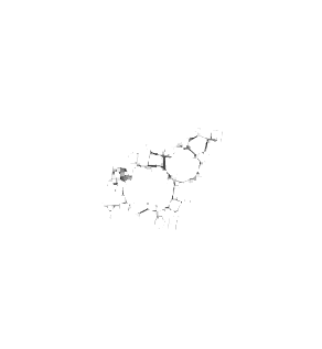 C[C@@H]1C(C2CC2)C/C=C/[C@H](O)C2CCC2CN2CCCCc3cc(Cl)ccc3COc3ccc(cc32)C(=O)NS1(=O)=O